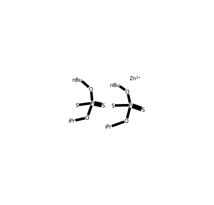 CCCCOP(=S)([S-])OC(C)C.CCCCOP(=S)([S-])OC(C)C.[Zn+2]